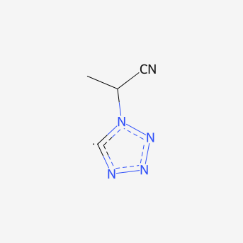 CC(C#N)n1[c]nnn1